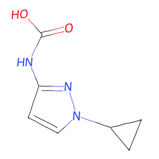 O=C(O)Nc1ccn(C2CC2)n1